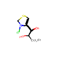 CCOC(=O)C(O)C(O)C1=CSCN1Cl